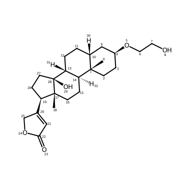 C[C@]12CC[C@H](OCCO)C[C@H]1CC[C@@H]1[C@@H]2CC[C@]2(C)[C@@H](C3=CC(=O)OC3)CC[C@]12O